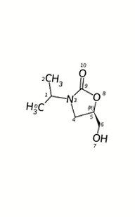 CC(C)N1C[C@H](CO)OC1=O